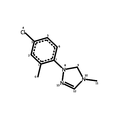 Cc1cc(Cl)ccc1N1CN(C)C=N1